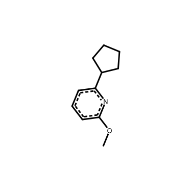 COc1cccc(C2CCCC2)n1